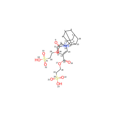 O=C(NC12CC3CC(C1)C(c1cccc(C(=O)OCCS(=O)(=O)O)c1)C(C3)C2)OCCS(=O)(=O)O